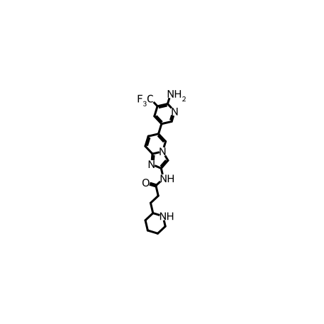 Nc1ncc(-c2ccc3nc(NC(=O)CCC4CCCCN4)cn3c2)cc1C(F)(F)F